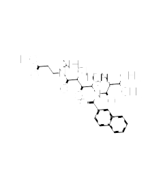 CC(C)C(N)C(=O)N(C(=O)c1ccc2ccccc2c1)C(C)C(=O)C(Cl)C(=O)N(N)CCC(=O)O